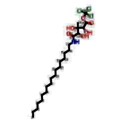 CCCCCCCCCCCCCCCCCCNC(=O)C(O)C(C)(O)C(O)C(=O)OC(Cl)(Cl)Cl